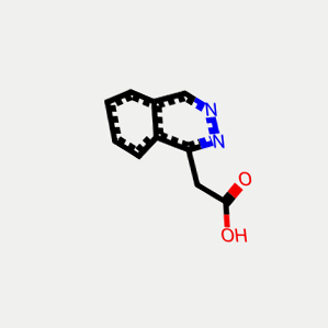 O=C(O)Cc1nncc2ccccc12